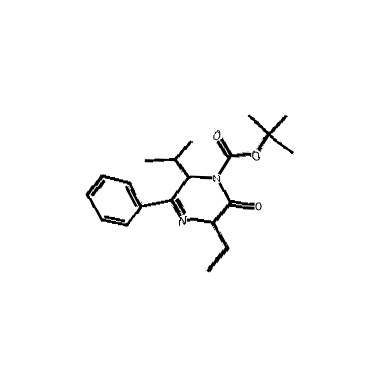 CCC1N=C(c2ccccc2)C(C(C)C)N(C(=O)OC(C)(C)C)C1=O